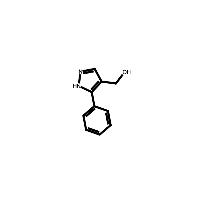 OCc1cn[nH]c1-c1ccccc1